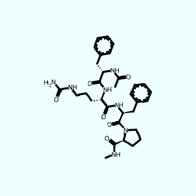 CNC(=O)[C@@H]1CCCN1C(=O)[C@H](Cc1ccccc1)NC(=O)[C@H](CCCNC(N)=O)NC(=O)[C@H](Cc1ccccc1)NC(C)=O